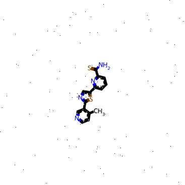 Cc1ccncc1-c1ncc(-c2cccc(C(N)=S)n2)s1